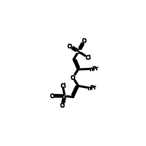 CCCC(=CS(=O)(=O)Cl)OC(=CS(=O)(=O)Cl)CCC